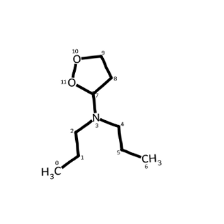 CCCN(CCC)[C]1CCOO1